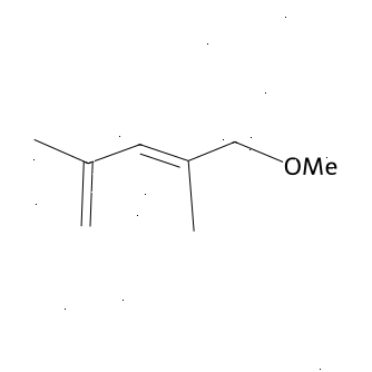 C=C(C)/C=C(\C)COC